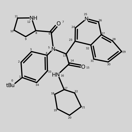 CC(C)(C)c1ccc(N(C(=O)C2CCCN2)C(C(=O)NC2CCCCC2)c2cncc3ccccc23)cc1